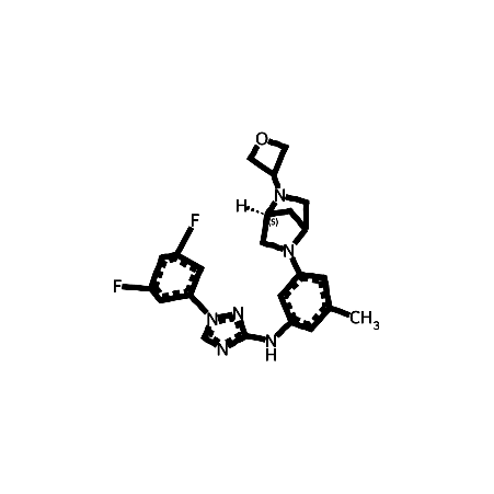 Cc1cc(Nc2ncn(-c3cc(F)cc(F)c3)n2)cc(N2C[C@@H]3CC2CN3C2COC2)c1